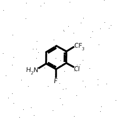 Nc1ccc(C(F)(F)F)c(Cl)c1F